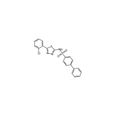 O=S(=O)(Nc1nnc(-c2ccccc2Cl)s1)c1ccc(-c2ccccc2)cc1